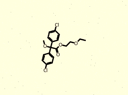 CCOCCOC(=O)C(OC)(c1ccc(Cl)cc1)c1ccc(Cl)cc1